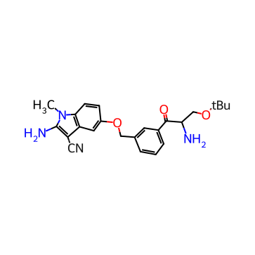 Cn1c(N)c(C#N)c2cc(OCc3cccc(C(=O)C(N)COC(C)(C)C)c3)ccc21